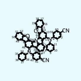 N#Cc1ccc(N(c2ccccc2)c2cc3c4ccccc4oc3c3c2c2cccc4c5c(N(c6ccccc6)c6ccc(C#N)cc6)cc6c7ccccc7oc6c5n3c24)cc1